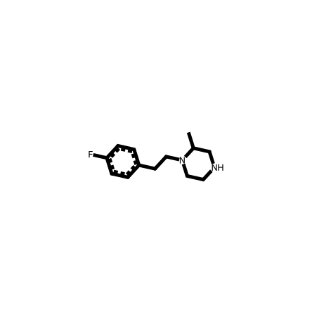 CC1CNCCN1CCc1ccc(F)cc1